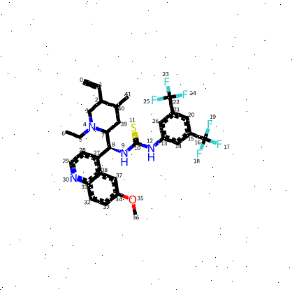 C=CC1CN(CC)C([C@@H](NC(=S)Nc2cc(C(F)(F)F)cc(C(F)(F)F)c2)c2ccnc3ccc(OC)cc23)CC1C